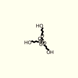 O=C(CP(=O)(OCCCCO)OCCCCO)OCCCCO